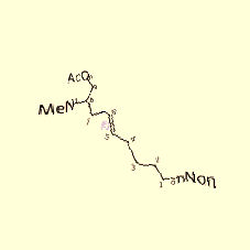 CCCCCCCCCCCCC/C=C/CC(COC(C)=O)NC